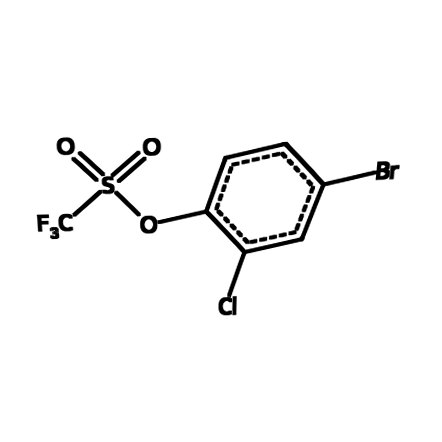 O=S(=O)(Oc1ccc(Br)cc1Cl)C(F)(F)F